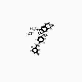 COc1cc2c(cc1S(=O)(=O)c1ccc(OCc3cccc(F)c3)cc1)CNCC2.Cl